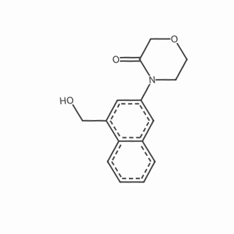 O=C1COCCN1c1cc(CO)c2ccccc2c1